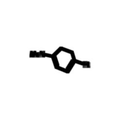 CCC1=CC=C(NC)CC1